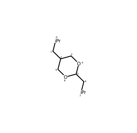 CC(C)CC1COC(CC(C)C)OC1